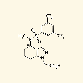 CN([C@@H]1CCCc2c1cnn2CC(=O)O)S(=O)(=O)c1cc(C(F)(F)F)cc(C(F)(F)F)c1